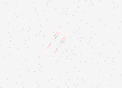 [Ce].[Mg+2].[O]=[Al][O-].[O]=[Al][O-].[SrH2]